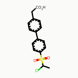 CC(Cl)S(=O)(=O)c1ccc(-c2ccc(CC(=O)O)cc2)cc1